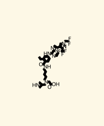 CCc1cc(Nc2nccn3c(-c4cn(CC(F)F)nc4C(F)(F)F)cnc23)ccc1C(=O)NCCCCCN(CC(=O)O)CC1CNC1